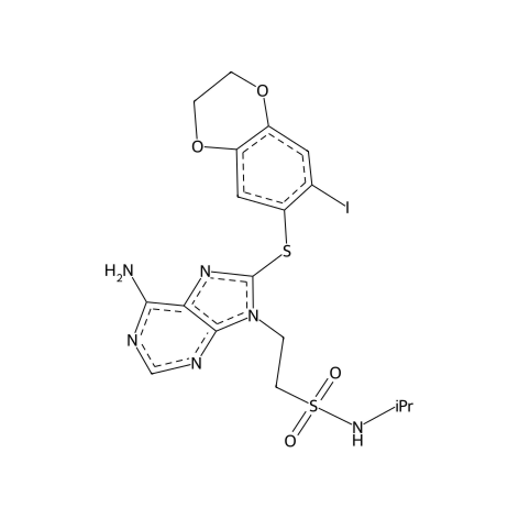 CC(C)NS(=O)(=O)CCn1c(Sc2cc3c(cc2I)OCCO3)nc2c(N)ncnc21